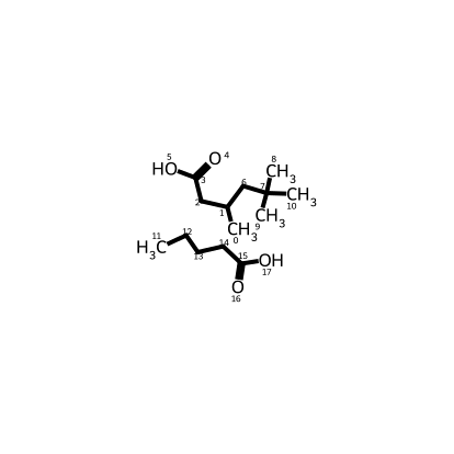 CC(CC(=O)O)CC(C)(C)C.CCCCC(=O)O